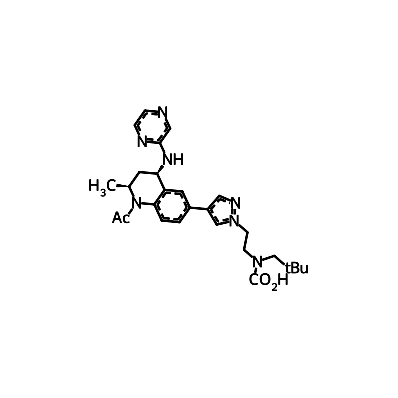 CC(=O)N1c2ccc(-c3cnn(CCN(CC(C)(C)C)C(=O)O)c3)cc2[C@H](Nc2cnccn2)C[C@@H]1C